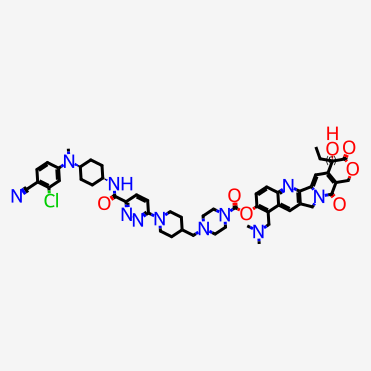 CC[C@@]1(O)C(=O)OCc2c1cc1n(c2=O)Cc2cc3c(CN(C)C)c(OC(=O)N4CCN(CC5CCN(c6ccc(C(=O)N[C@H]7CC[C@H](N(C)c8ccc(C#N)c(Cl)c8)CC7)nn6)CC5)CC4)ccc3nc2-1